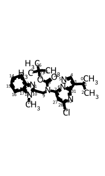 CC(C)c1cnn2c(N(Cc3nc4ccccc4n3C)C(=O)OC(C)(C)C)cc(Cl)nc12